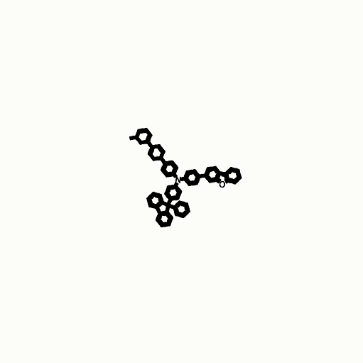 CC1C=CC=C(C2=CCC(c3ccc(N(c4ccc(-c5ccc6c(c5)oc5ccccc56)cc4)c4ccc(C5(c6ccccc6)c6ccccc6-c6ccccc65)cc4)cc3)C=C2)C1